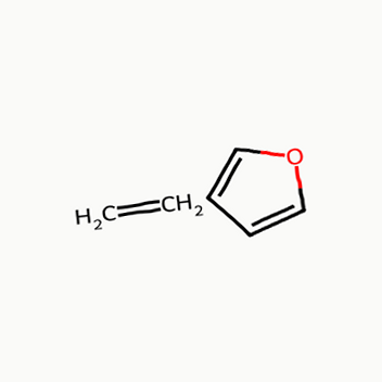 C=C.c1ccoc1